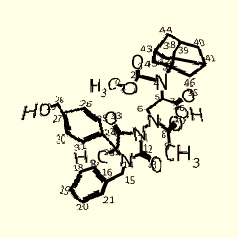 COC(=O)N(C(CN(C(C)=O)N1C(=O)N(Cc2ccccc2)C(C)(c2ccc(CO)cc2)C1=O)C(=O)O)C12CC3CC(CC(C3)C1)C2